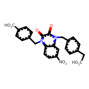 O=C(O)Cc1ccc(Cn2c(=O)c(=O)n(Cc3ccc(C(=O)O)cc3)c3ccc([N+](=O)[O-])cc32)cc1